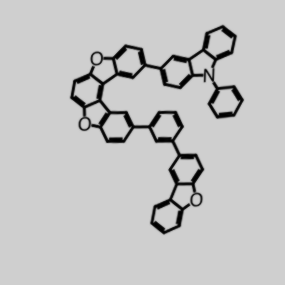 c1ccc(-n2c3ccccc3c3cc(-c4ccc5oc6ccc7oc8ccc(-c9cccc(-c%10ccc%11oc%12ccccc%12c%11c%10)c9)cc8c7c6c5c4)ccc32)cc1